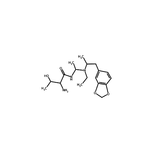 CCN(C(C)Cc1ccc2c(c1)OCO2)C(C)NC(=O)C(N)C(C)O